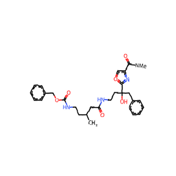 CNC(=O)c1coc(C(O)(CCNC(=O)CC(C)CCNC(=O)OCc2ccccc2)Cc2ccccc2)n1